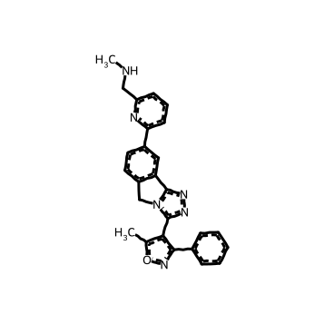 CNCc1cccc(-c2ccc3c(c2)-c2nnc(-c4c(-c5ccccc5)noc4C)n2C3)n1